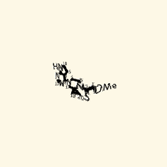 COCC(=S)N1CCN(c2ncnc3[nH]ccc23)CC12CC2